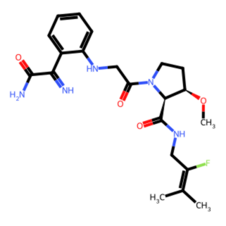 CO[C@@H]1CCN(C(=O)CNc2ccccc2C(=N)C(N)=O)[C@@H]1C(=O)NCC(F)=C(C)C